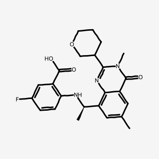 Cc1cc([C@@H](C)Nc2ccc(F)cc2C(=O)O)c2nc(C3CCCOC3)n(C)c(=O)c2c1